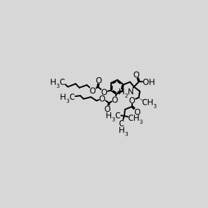 CCCCCOC(=O)Oc1ccc(CC(N)(C[C@H](C)OC(=O)CC(C)(C)C)C(=O)O)cc1OC(=O)OCCCCC